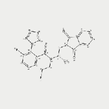 C[C@@H](CN1C(=O)c2ccccc2C1=O)N(CCF)C(=O)c1cccc(F)c1-n1nccn1